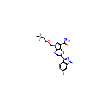 Cn1nc(-c2cnc3c(n2)c(C(N)=O)cn3COCC[Si](C)(C)C)c2ccc(F)cc21